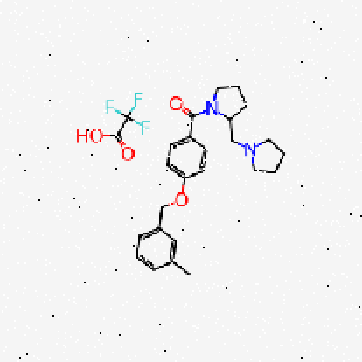 Cc1cccc(COc2ccc(C(=O)N3CCCC3CN3CCCC3)cc2)c1.O=C(O)C(F)(F)F